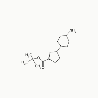 CC(C)(C)OC(=O)N1CCC(C2CCC(N)CC2)C1